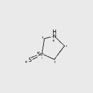 S=[Se]1CCNC1